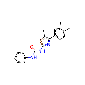 Cc1ccc(-c2nc(NC(=O)Nc3ccccc3)sc2C)cc1C